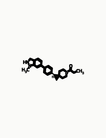 CCC(=O)N1CCC2(CC1)C[C@@H]2c1ccc(-c2ccc3c(c2)N(C)NC3)cc1